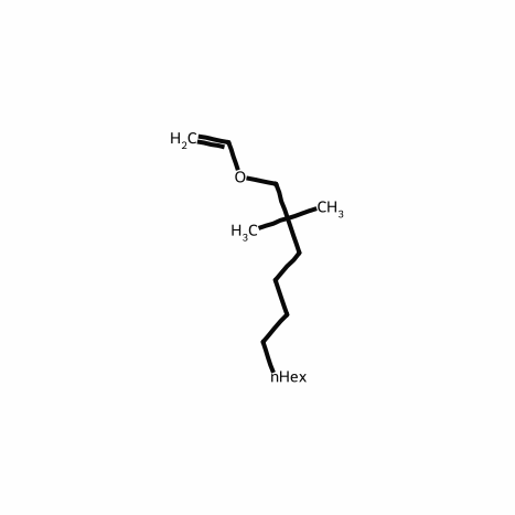 C=COCC(C)(C)CCCCCCCCCC